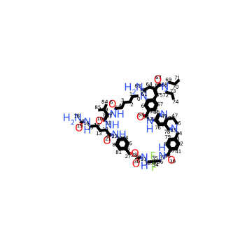 CCCCCC(=O)N[C@H](C(=O)NC(CCCNC(N)=O)C(=O)Nc1ccc(COC(=O)NCC(F)(F)CNC(=O)c2ccc(CN3CCc4ncc(NC(=O)c5ccc6c(c5)N=C(N)CC(C(=O)N(CCC)CCC)=C6)cc4C3)cc2)cc1)C(C)C